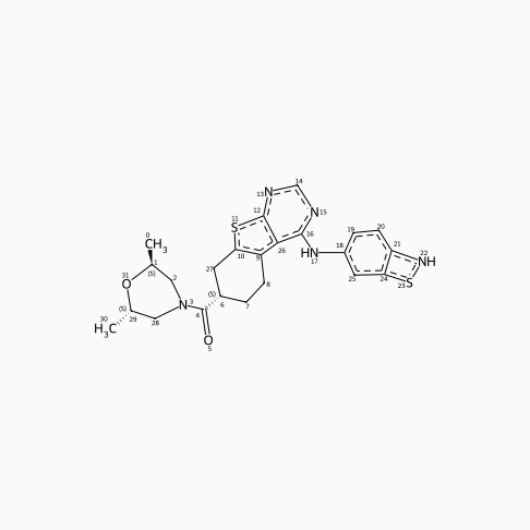 C[C@H]1CN(C(=O)[C@H]2CCc3c(sc4ncnc(Nc5ccc6[nH]sc6c5)c34)C2)C[C@H](C)O1